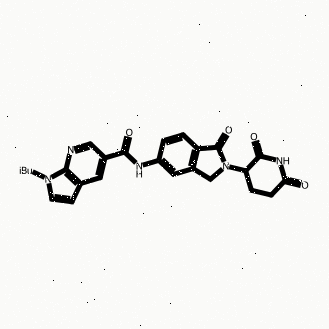 CCC(C)n1ccc2cc(C(=O)Nc3ccc4c(c3)CN(C3CCC(=O)NC3=O)C4=O)cnc21